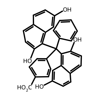 O=C(O)c1ccc(C(c2ccccc2)(c2c(O)ccc3ccc(O)cc23)c2c(O)ccc3ccc(O)cc23)cc1